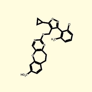 Cc1cccc(Cl)c1-c1noc(C2CC2)c1COc1ncc2c(n1)CCc1ccc(C(=O)O)cc1O2